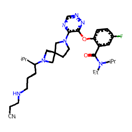 CCN(C(=O)c1cc(F)ccc1Oc1nncnc1N1CCC2(C1)CN(C(CCCNCCC#N)C(C)C)C2)C(C)C